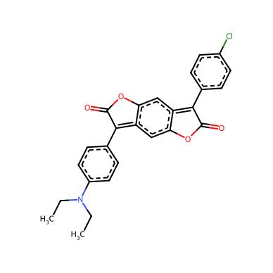 CCN(CC)c1ccc(C2=c3cc4c(cc3OC2=O)=C(c2ccc(Cl)cc2)C(=O)O4)cc1